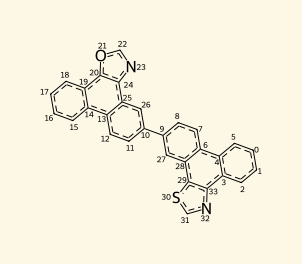 c1ccc2c(c1)c1ccc(-c3ccc4c5ccccc5c5ocnc5c4c3)cc1c1scnc21